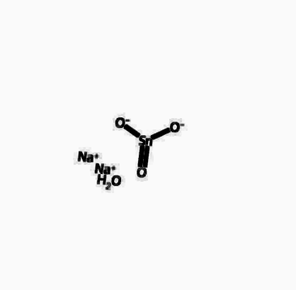 O.[Na+].[Na+].[O]=[Sn]([O-])[O-]